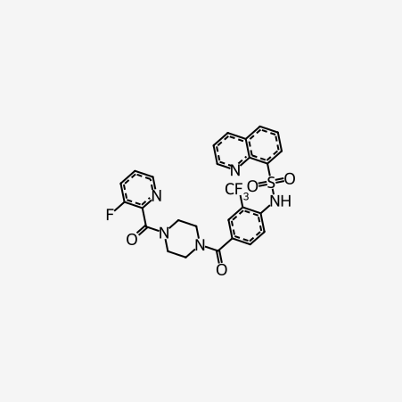 O=C(c1ccc(NS(=O)(=O)c2cccc3cccnc23)c(C(F)(F)F)c1)N1CCN(C(=O)c2ncccc2F)CC1